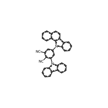 N#Cc1cc(-n2c3ccccc3c3ccc4ccccc4c32)cc(-n2c3ccccc3c3ccccc32)c1C#N